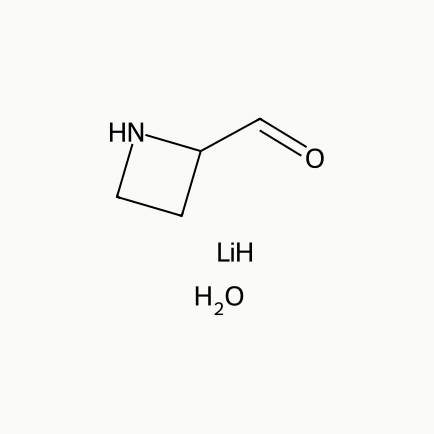 O.O=CC1CCN1.[LiH]